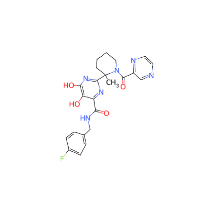 CC1(c2nc(O)c(O)c(C(=O)NCc3ccc(F)cc3)n2)CCCCN1C(=O)c1cnccn1